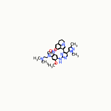 COc1cc(N(C)CCN(C)C)c([N+](=O)[O-])cc1Nc1ncc(-c2cc(C)nn2C)c(-c2cn3c4c(cccc24)CCC3)n1